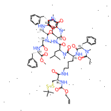 C=CCOC(=O)N[C@@H](CSSC(C)(C)C)C(=O)NCCCC[C@H](NC(=O)[C@H](Cc1ccccc1)N(C)C(=O)CC)C(=O)N(C)C(CC(C)C)C(=O)N[C@@H](Cc1ccccc1)C(=O)N(C)CC(=O)N(C)[C@@H](Cc1ccccc1)C(=O)N[C@@H](C)C(=O)N(C)[C@@H](C)C(=O)N[C@@H](Cc1ccccc1)C(=O)OC